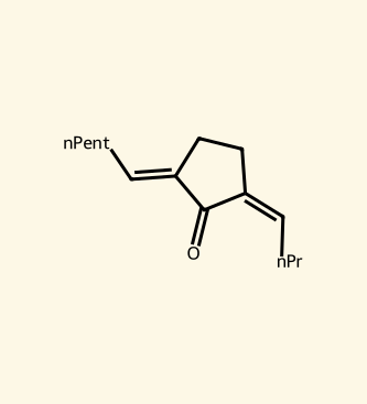 CCCC=C1CCC(=CCCCCC)C1=O